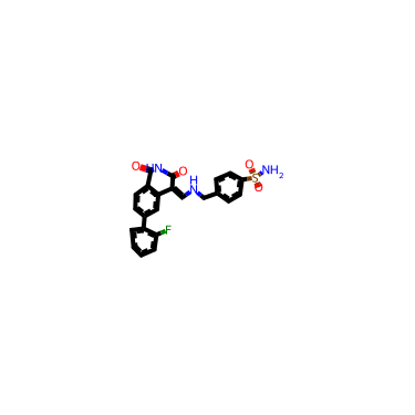 NS(=O)(=O)c1ccc(CNC=C2C(=O)NC(=O)c3ccc(-c4ccccc4F)cc32)cc1